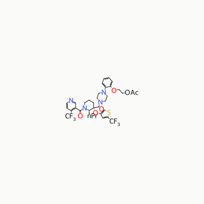 CCC[C@H]1N(C(=O)c2cnccc2C(F)(F)F)CCC[C@@]1(Oc1csc(C(F)(F)F)c1)C(=O)N1CCN(c2ccccc2OCCOC(C)=O)CC1